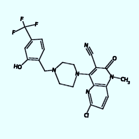 Cn1c(=O)c(C#N)c(N2CCN(Cc3ccc(C(F)(F)F)cc3O)CC2)c2nc(Cl)ccc21